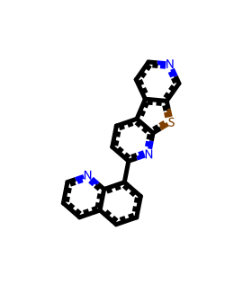 c1cnc2c(-c3ccc4c(n3)sc3cnccc34)cccc2c1